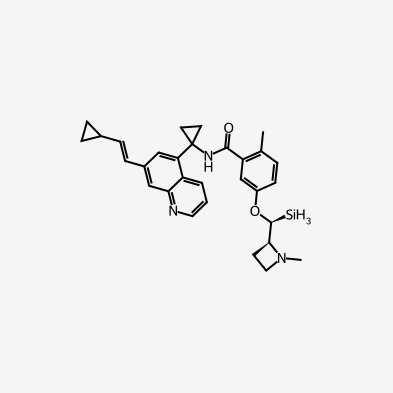 Cc1ccc(O[C@@H]([SiH3])[C@@H]2CCN2C)cc1C(=O)NC1(c2cc(/C=C/C3CC3)cc3ncccc23)CC1